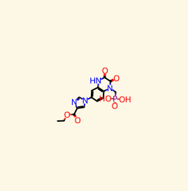 CCOC(=O)c1cn(-c2ccc3c(c2)[nH]c(=O)c(=O)n3CP(=O)(O)O)cn1